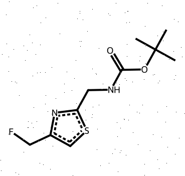 CC(C)(C)OC(=O)NCc1nc(CF)cs1